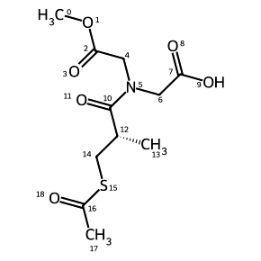 COC(=O)CN(CC(=O)O)C(=O)[C@H](C)CSC(C)=O